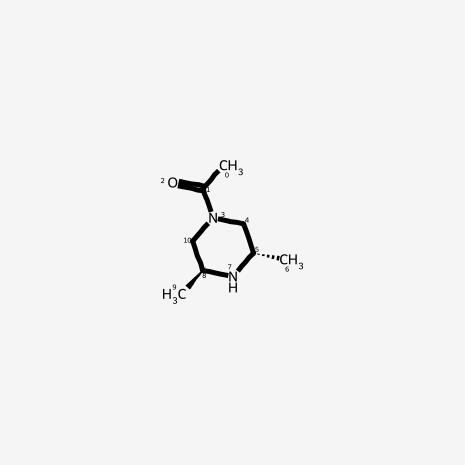 CC(=O)N1C[C@H](C)N[C@@H](C)C1